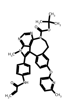 C=CC(=O)Nc1ccc(-c2c3c4c(ncnc4n2C)N(C(=O)OC(C)(C)C)CCc2cc(Oc4cccc(C)n4)ccc2-3)cc1